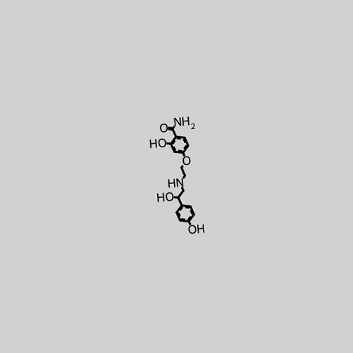 NC(=O)c1ccc(OCCNCC(O)c2ccc(O)cc2)cc1O